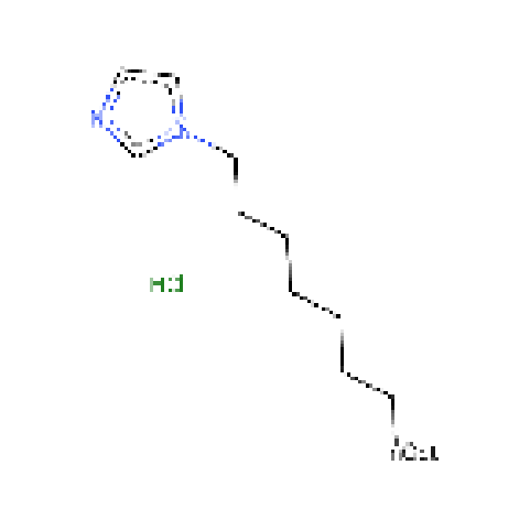 CCCCCCCCCCCCCCCn1ccnc1.Cl